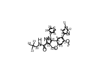 COc1cc2c(cc1-c1cn(C)cn1)-c1c(c(C(=O)NCC(C)(C)C)nn1-c1ccsc1)CO2